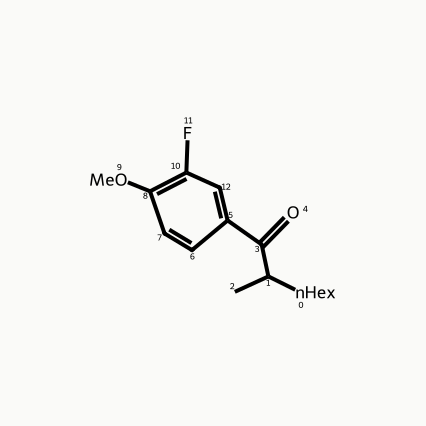 CCCCCCC(C)C(=O)c1ccc(OC)c(F)c1